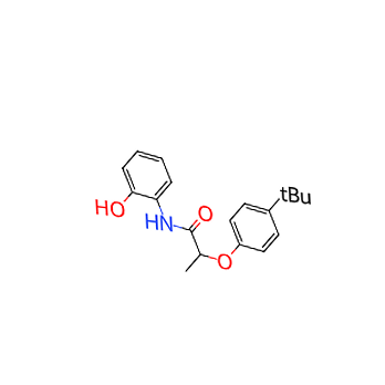 CC(Oc1ccc(C(C)(C)C)cc1)C(=O)Nc1ccccc1O